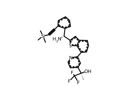 C[C@@](O)(c1ccnc(-c2cccc3cc([C@H](N)c4ccccc4C#C[Si](C)(C)C)sc23)c1)C(F)(F)F